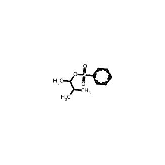 CC(C)C(C)OS(=O)(=O)c1ccccc1